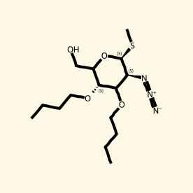 CCCCOC1[C@H](OCCCC)C(CO)O[C@@H](SC)[C@H]1N=[N+]=[N-]